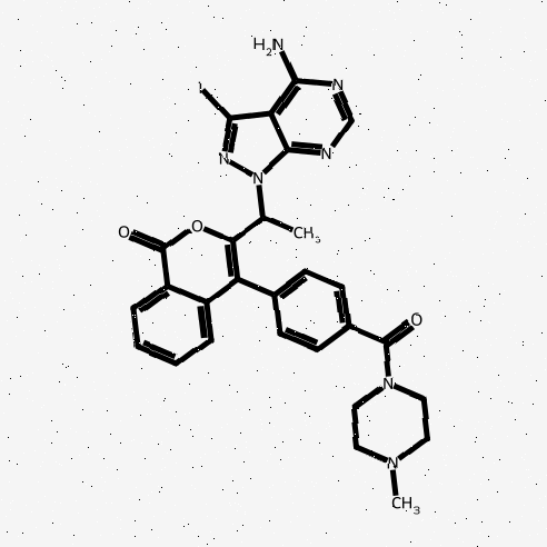 CC(c1oc(=O)c2ccccc2c1-c1ccc(C(=O)N2CCN(C)CC2)cc1)n1nc(I)c2c(N)ncnc21